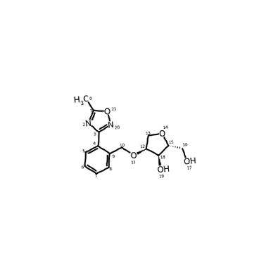 Cc1nc(-c2ccccc2CO[C@H]2CO[C@H](CO)[C@H]2O)no1